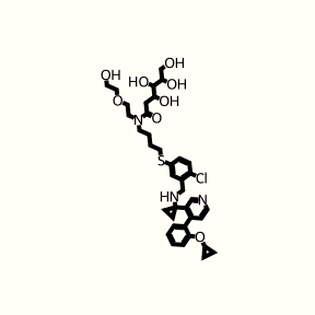 O=C(CC(O)C(O)C(O)CO)N(CCCCSc1ccc(Cl)c(CNC2(c3cnccc3-c3ccccc3OC3CC3)CC2)c1)CCOCCO